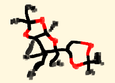 C=C[C@]1(C)[C@H]2OC(C)(C)O[C@H]2OC1(C)C1COC(C)(C)O1